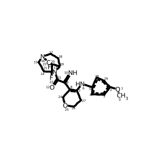 COc1ccc(NC2=C(C(=N)C(=O)N3CCN4CCC3C(F)(F)C4)COCC2)cc1